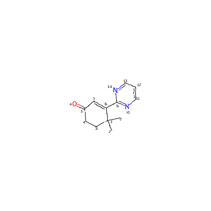 CC1(C)CCC(=O)C=C1c1ncccn1